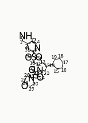 NCc1ccnc(S(=O)(=O)C[C@H]2C[C@@H](C3CCCCC3)CN2S(=O)(=O)N2CCOCC2)c1